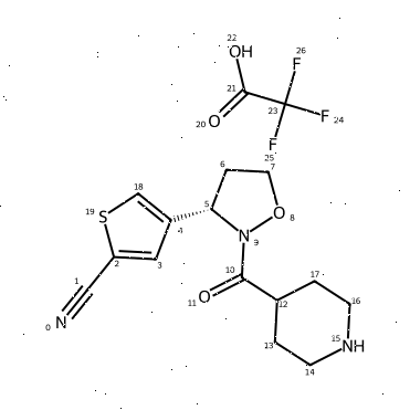 N#Cc1cc([C@@H]2CCON2C(=O)C2CCNCC2)cs1.O=C(O)C(F)(F)F